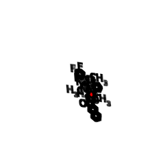 CC(C)c1cccc(C(C)C)c1N1/C(=C/C=C2C(=O)c3cc4ccccc4cc3C2=O)N(C)c2nc3cc(F)c(F)cc3nc21